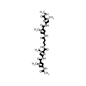 CNC(=O)c1nc(NC(=O)c2cc(NC(=O)CCCNC(=O)c3nc(NC(=O)c4cc(NC(C)=O)cn4C)cn3C)cn2C)cn1C